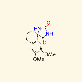 COc1cc2c(cc1OC)C1(CCC2)NC(=O)NC1=O